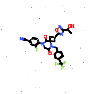 CC(O)c1noc(C2CC3(C2)C(=O)N(c2ccc(C#N)cc2F)CC(=O)N3Cc2ccc(C(F)(F)F)cc2)n1